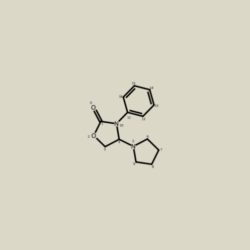 O=C1OCC(N2CCCC2)N1c1ccccc1